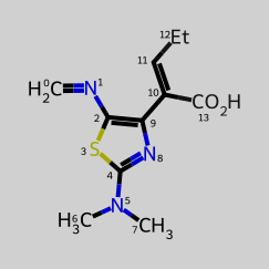 C=Nc1sc(N(C)C)nc1/C(=C/CC)C(=O)O